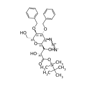 CC(C)(C)[Si](C)(C)OC(=O)[C@H](O)C(O)[C@H]1O[C@H](CO)[C@@H](OCc2ccccc2)[C@H](OCc2ccccc2)[C@H]1N=[N+]=[N-]